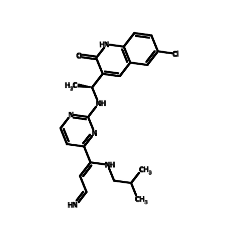 CC(C)CN/C(=C\C=N)c1ccnc(N[C@@H](C)c2cc3cc(Cl)ccc3[nH]c2=O)n1